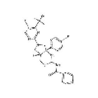 CC(C)(O)c1nc(N2C[C@H]3CSC(NC(=O)c4ccccc4)N[C@@]3(c3ccc(F)cn3)C2)ncc1F